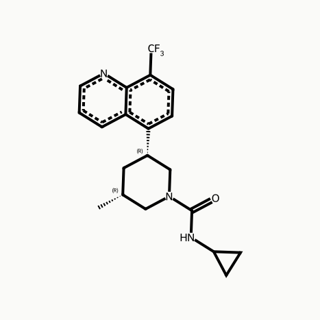 C[C@@H]1C[C@H](c2ccc(C(F)(F)F)c3ncccc23)CN(C(=O)NC2CC2)C1